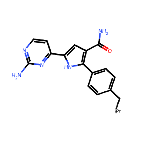 CC(C)Cc1ccc(-c2[nH]c(-c3ccnc(N)n3)cc2C(N)=O)cc1